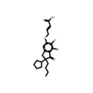 CCCCC1(C2CCCC2)Cc2cc(OC/C=C/C(=O)O)c(Cl)c(Cl)c2C1=O